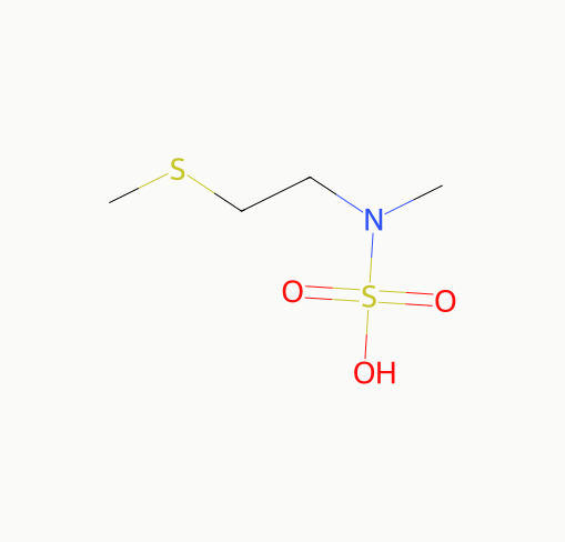 CSCCN(C)S(=O)(=O)O